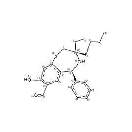 CCCC[C@]1(CC)CSc2cc(O)c(C=O)cc2[C@H](c2ccccc2)N1